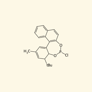 CC1=CC(C(C)(C)C)C2OP(Cl)Oc3ccc4ccccc4c3C2=C1